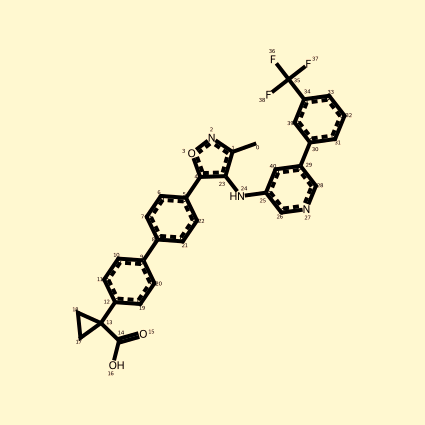 Cc1noc(-c2ccc(-c3ccc(C4(C(=O)O)CC4)cc3)cc2)c1Nc1cncc(-c2cccc(C(F)(F)F)c2)c1